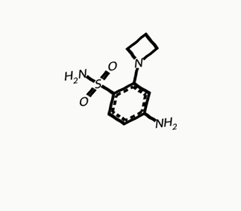 Nc1ccc(S(N)(=O)=O)c(N2CCC2)c1